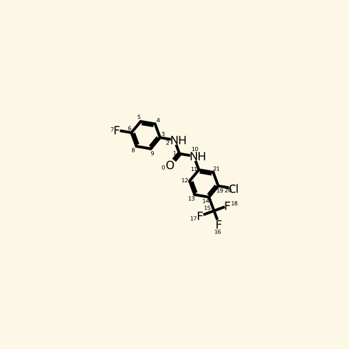 O=C(Nc1ccc(F)cc1)Nc1ccc(C(F)(F)F)c(Cl)c1